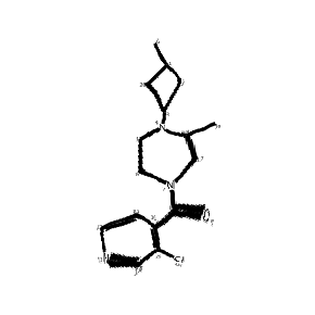 CC1CC(N2CCN(C(=O)c3ccncc3Cl)CC2C)C1